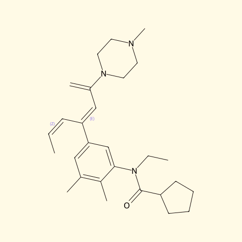 C=C(/C=C(\C=C/C)c1cc(C)c(C)c(N(CC)C(=O)C2CCCC2)c1)N1CCN(C)CC1